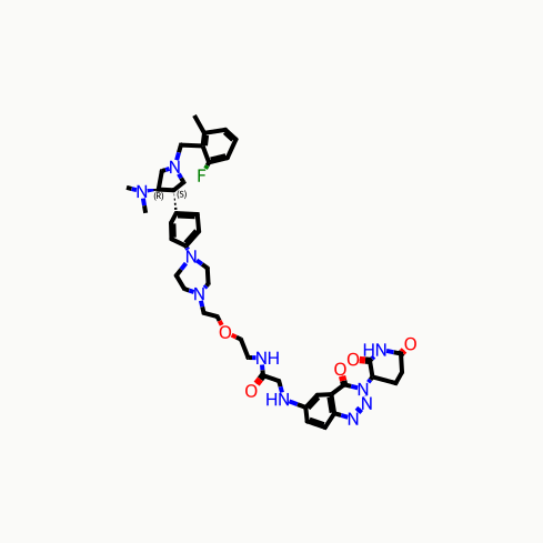 Cc1cccc(F)c1CN1C[C@H](c2ccc(N3CCN(CCOCCNC(=O)CNc4ccc5nnn(C6CCC(=O)NC6=O)c(=O)c5c4)CC3)cc2)[C@@H](N(C)C)C1